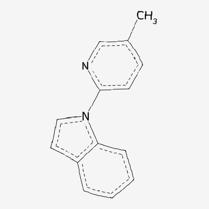 Cc1ccc(-n2ccc3ccccc32)nc1